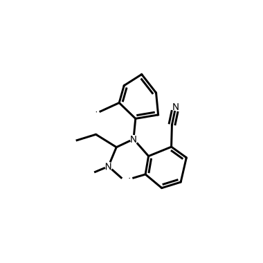 [CH2]c1ccccc1N(c1c([CH2])cccc1C#N)C(CC)N(C)C